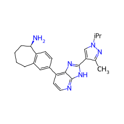 Cc1nn(C(C)C)cc1-c1nc2c(-c3ccc4c(c3)CCCC[C@H]4N)ccnc2[nH]1